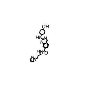 O=C(NCCCn1cccn1)c1ccc2cnc(NC3CCC(O)CC3)nc2c1